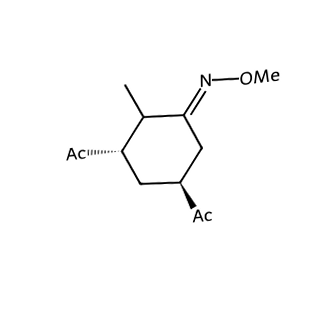 CO/N=C1\C[C@@H](C(C)=O)C[C@H](C(C)=O)C1C